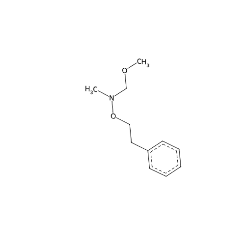 COCN(C)OCCc1ccccc1